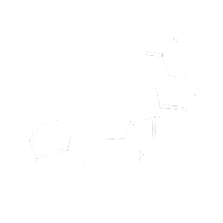 NC(=O)c1ccnc(-c2c[nH]c(CCc3ccccc3Cl)n2)c1